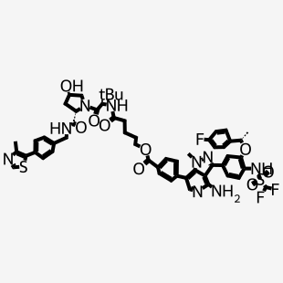 Cc1ncsc1-c1ccc(CNC(=O)[C@@H]2C[C@@H](O)CN2C(=O)[C@@H](NC(=O)CCCCOC(=O)c2ccc(-c3cnc(N)c4c(-c5ccc(NS(=O)(=O)C(F)F)c(O[C@@H](C)c6ccc(F)cc6)c5)nn(C)c34)cc2)C(C)(C)C)cc1